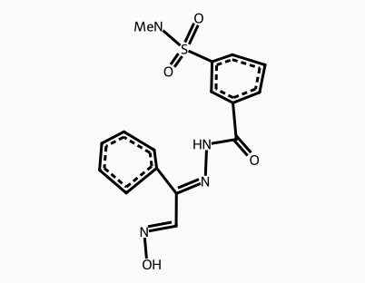 CNS(=O)(=O)c1cccc(C(=O)NN=C(C=NO)c2ccccc2)c1